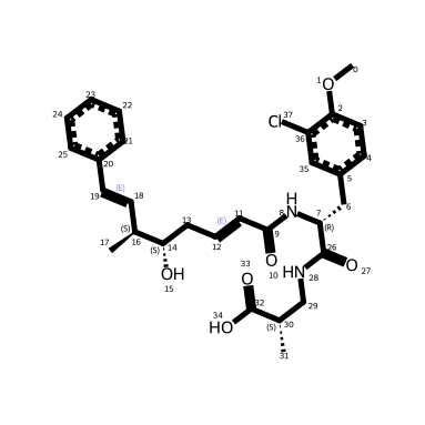 COc1ccc(C[C@@H](NC(=O)/C=C/C[C@H](O)[C@@H](C)/C=C/c2ccccc2)C(=O)NC[C@H](C)C(=O)O)cc1Cl